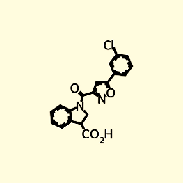 O=C(O)C1CN(C(=O)c2cc(-c3cccc(Cl)c3)on2)c2ccccc21